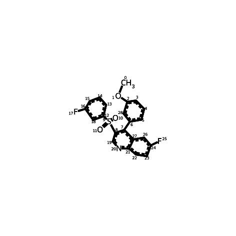 COc1cccc(-c2c(S(=O)(=O)c3cccc(F)c3)cnc3ccc(F)cc23)c1